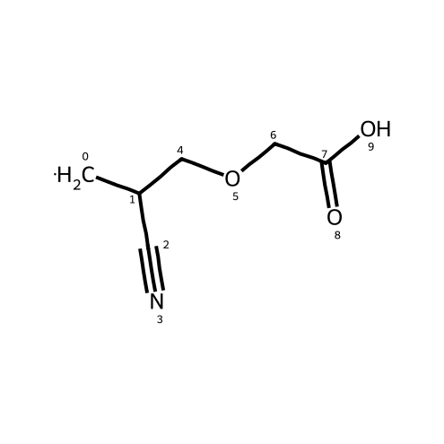 [CH2]C(C#N)COCC(=O)O